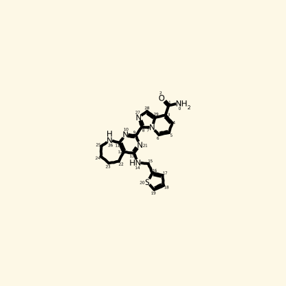 NC(=O)c1cccn2c(-c3nc4c(c(NCc5cccs5)n3)CCCCN4)ncc12